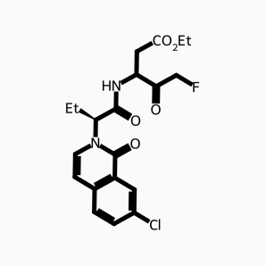 CCOC(=O)CC(NC(=O)[C@H](CC)n1ccc2ccc(Cl)cc2c1=O)C(=O)CF